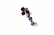 CCN(CC)CCN1CCN(C(=O)CNC(=O)c2ccc(S(=O)(=O)Nc3ccccc3Oc3ccccc3)cc2)CC1